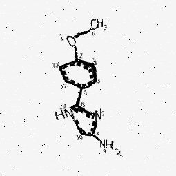 COc1ccc(-c2nc(N)c[nH]2)cc1